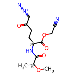 CO[C@H](C)C(=O)N[C@@H](CCC(=O)C=[N+]=[N-])C(=O)OCC#N